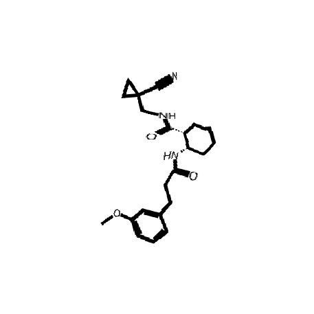 COc1cccc(CCC(=O)N[C@H]2CCCC[C@H]2C(=O)NCC2(C#N)CC2)c1